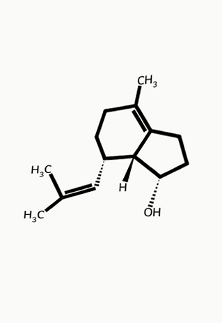 CC(C)=C[C@@H]1CCC(C)=C2CC[C@H](O)[C@@H]21